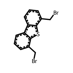 BrCc1cccc2c1sc1c(CBr)cccc12